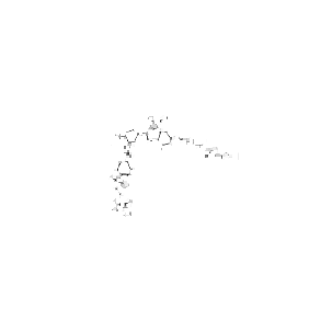 Nc1ccc(N=Nc2ccc(SOOCCS(=O)OOO)cc2S(=O)(=O)O)cc1N=Nc1ccc(S(=O)(=O)CCOS(=O)(=O)O)cc1